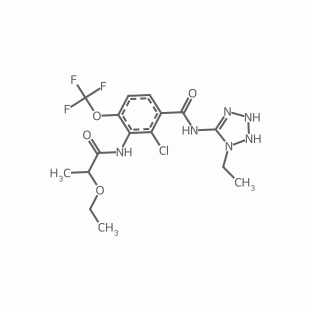 CCOC(C)C(=O)Nc1c(OC(F)(F)F)ccc(C(=O)NC2=NNNN2CC)c1Cl